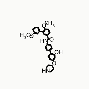 COc1cccc(-c2cc(C(=O)Nc3ccc(-c4ccc(OC5CCNCC5)cc4O)cc3)ccc2OC)c1